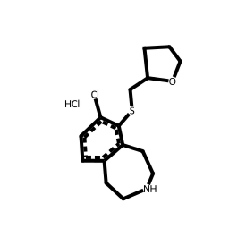 Cl.Clc1ccc2c(c1SCC1CCCO1)CCNCC2